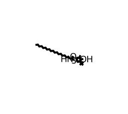 CCCCCCCCCCCCCCCCCCNC(=O)Sc1cc(C)c(O)c(C(C)(C)C)c1